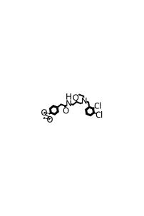 CS(=O)(=O)c1ccc(CC(=O)NCC2CN(Cc3cccc(Cl)c3Cl)CCO2)cc1